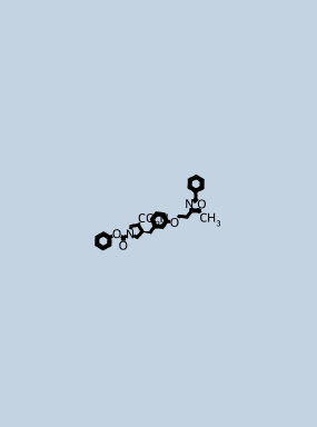 Cc1oc(-c2ccccc2)nc1CCOc1cccc(C[C@H]2CN(C(=O)Oc3ccccc3)C[C@H]2C(=O)O)c1